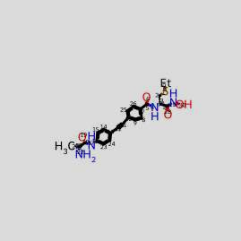 CCSC[C@H](NC(=O)c1ccc(C#Cc2ccc(NC(=O)[C@H](C)N)cc2)cc1)C(=O)NO